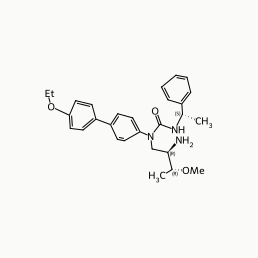 CCOc1ccc(-c2ccc(N(C[C@@H](N)[C@@H](C)OC)C(=O)N[C@@H](C)c3ccccc3)cc2)cc1